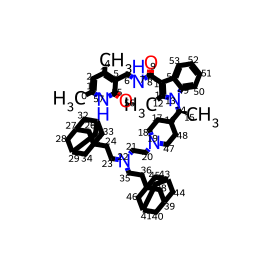 Cc1cc(C)c(CNC(=O)c2c(C)n([C@@H](C)C3CCN(CCN(CCC45CC6CC(CC(C6)C4)C5)CCC45CC6CC(CC(C6)C4)C5)CC3)c3ccccc23)c(=O)[nH]1